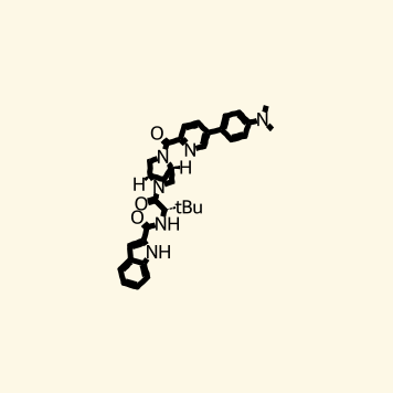 CN(C)c1ccc(-c2ccc(C(=O)N3C[C@@H]4C[C@H]3CN4C(=O)[C@@H](NC(=O)c3cc4ccccc4[nH]3)C(C)(C)C)nc2)cc1